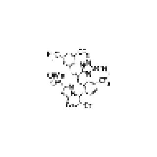 CCc1cnc2cc(C(=O)OC)nn2c1-c1ccc(C(F)(F)F)cc1CN(Cc1cc(C(F)(F)F)cc(C(F)(F)F)c1)c1nnn(C)n1